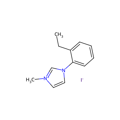 CCc1ccccc1-n1cc[n+](C)c1.[I-]